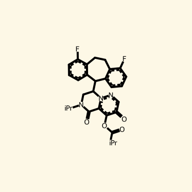 CC(C)C(=O)Oc1c2n(ncc1=O)C(C1c3cccc(F)c3CCc3c(F)cccc31)CN(C(C)C)C2=O